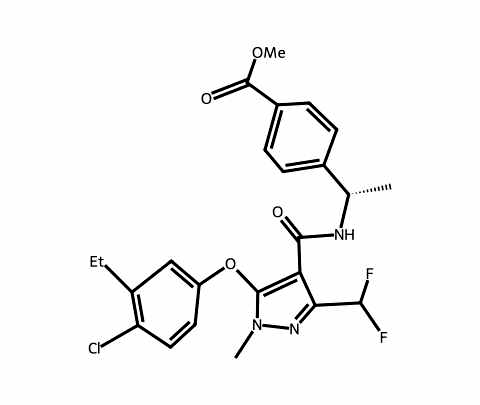 CCc1cc(Oc2c(C(=O)N[C@@H](C)c3ccc(C(=O)OC)cc3)c(C(F)F)nn2C)ccc1Cl